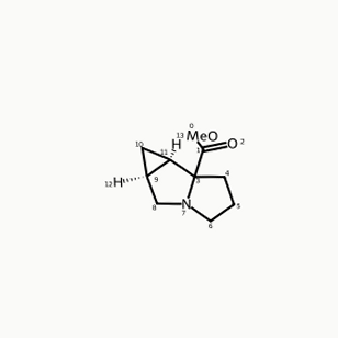 COC(=O)C12CCCN1C[C@H]1C[C@H]12